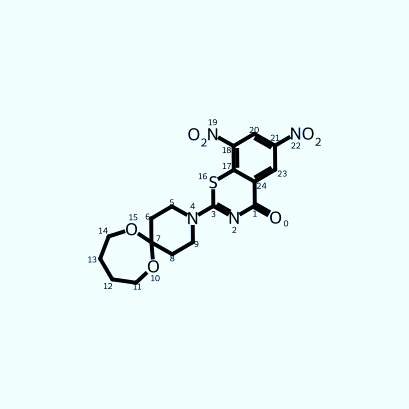 O=c1nc(N2CCC3(CC2)OCCCCO3)sc2c([N+](=O)[O-])cc([N+](=O)[O-])cc12